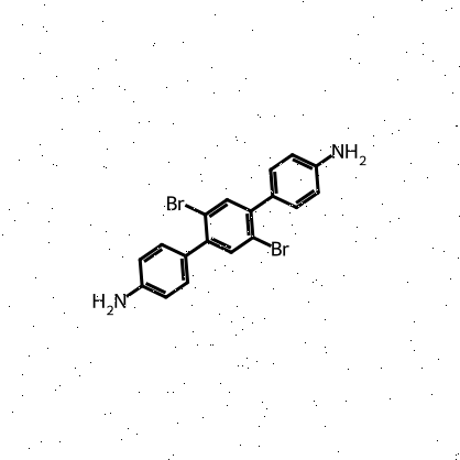 Nc1ccc(-c2cc(Br)c(-c3ccc(N)cc3)cc2Br)cc1